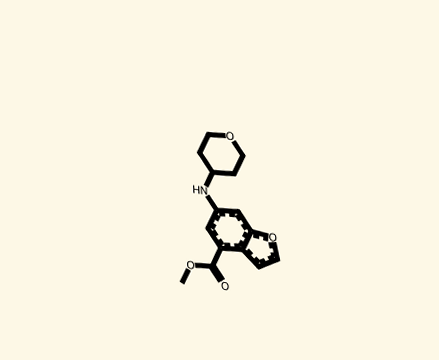 COC(=O)c1cc(NC2CCOCC2)cc2occc12